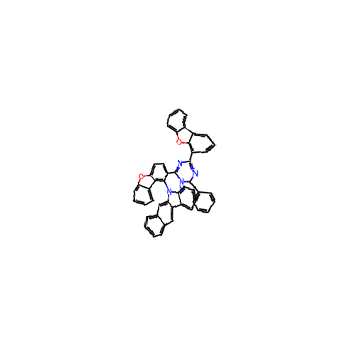 c1ccc(C2N=C(c3cccc4c3oc3ccccc34)N=C(c3ccc4oc5ccccc5c4c3-n3c4ccccc4c4cc5ccccc5cc43)N2)cc1